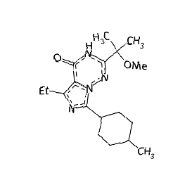 CCc1nc(C2CCC(C)CC2)n2nc(C(C)(C)OC)[nH]c(=O)c12